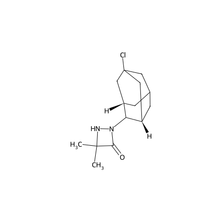 CC1(C)NN(C2[C@H]3CC4C[C@H]2CC(Cl)(C4)C3)C1=O